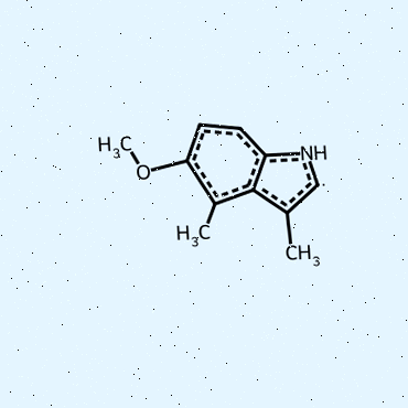 COc1ccc2[nH][c]c(C)c2c1C